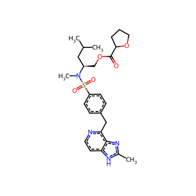 Cc1nc2c(Cc3ccc(S(=O)(=O)N(C)[C@H](COC(=O)C4CCCO4)CC(C)C)cc3)nccc2[nH]1